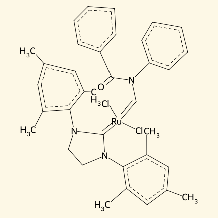 Cc1cc(C)c(N2CCN(c3c(C)cc(C)cc3C)[C]2=[Ru]([Cl])([Cl])=[CH]N(C(=O)c2ccccc2)c2ccccc2)c(C)c1